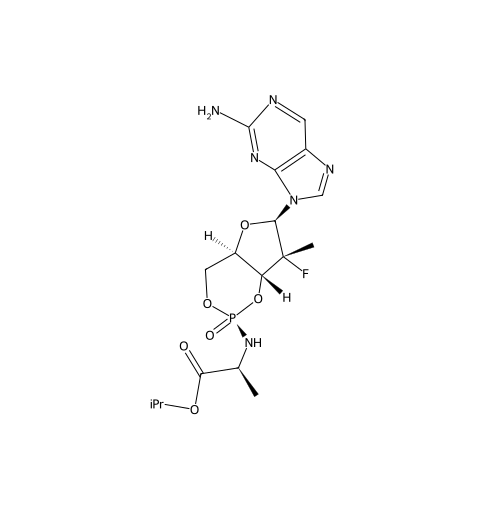 CC(C)OC(=O)[C@H](C)N[P@@]1(=O)OC[C@H]2O[C@@H](n3cnc4cnc(N)nc43)[C@](C)(F)[C@@H]2O1